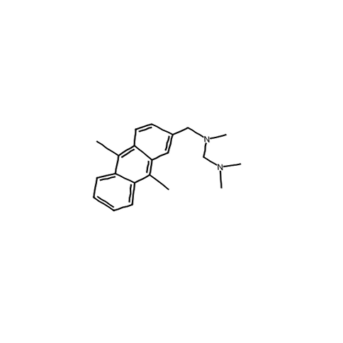 Cc1c2ccccc2c(C)c2cc(CN(C)CN(C)C)ccc12